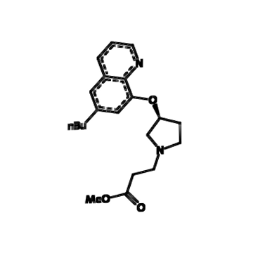 CCCCc1cc(O[C@H]2CCN(CCC(=O)OC)C2)c2ncccc2c1